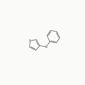 [c]1sccc1Oc1ccccc1